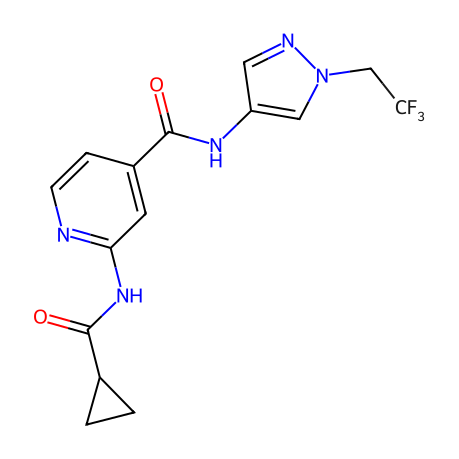 O=C(Nc1cnn(CC(F)(F)F)c1)c1ccnc(NC(=O)C2CC2)c1